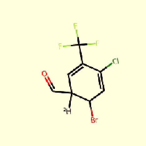 [2H]C1(C=O)C=C(C(F)(F)F)C(Cl)=CC1Br